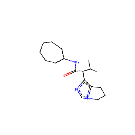 CC(C)C(C(=O)NC1CCCCCC1)c1ncn2c1CCC2